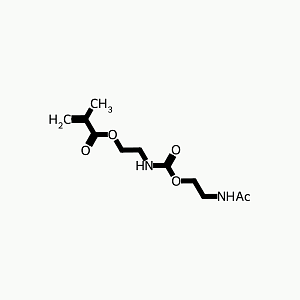 C=C(C)C(=O)OCCNC(=O)OCCNC(C)=O